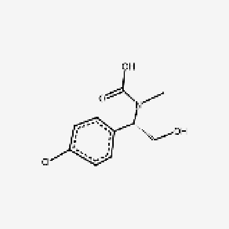 CN(C(=O)O)[C@H](CO)c1ccc(Cl)cc1